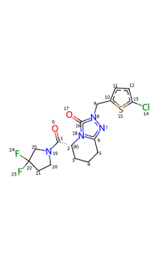 O=C([C@H]1CCCc2nn(Cc3ccc(Cl)s3)c(=O)n21)N1CCC(F)(F)C1